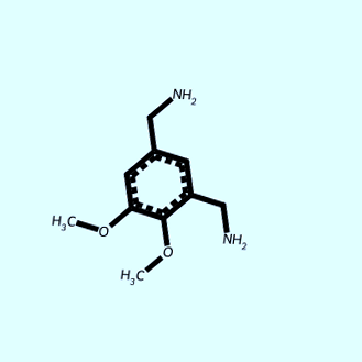 COc1cc(CN)cc(CN)c1OC